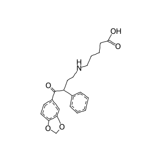 O=C(O)CCCCNCCC(C(=O)c1ccc2c(c1)OCO2)c1ccccc1